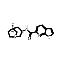 O=C(N[C@@H]1C[C@H]2CCN(C2)C1)c1ccc2ccsc2n1